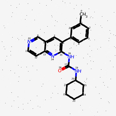 Cc1cccc(-c2cc3cnccc3nc2NC(=O)NC2CCCCC2)c1